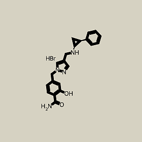 Br.NC(=O)c1ccc(Cn2cc(CN[C@@H]3C[C@H]3c3ccccc3)cn2)cc1O